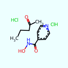 CCCC(C)=O.Cl.Cl.O=C(NO)c1ccncc1